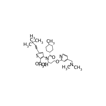 C[C@@H](CCOc1cc(CN(C)C)ccn1)N(c1cc(C#CC(C)(C)C)sc1C(=O)O)C(=O)[C@H]1CC[C@H](C)CC1